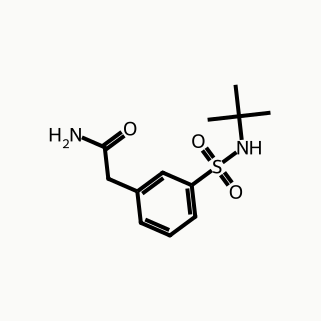 CC(C)(C)NS(=O)(=O)c1cccc(CC(N)=O)c1